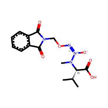 CC(C)[C@@H](C(=O)O)N(C)/[N+]([O-])=N\OCN1C(=O)c2ccccc2C1=O